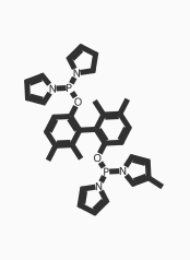 Cc1ccn(P(Oc2ccc(C)c(C)c2-c2c(OP(N3C=CCC3)n3cccc3)ccc(C)c2C)n2cccc2)c1